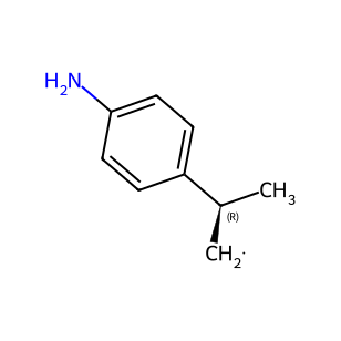 [CH2][C@H](C)c1ccc(N)cc1